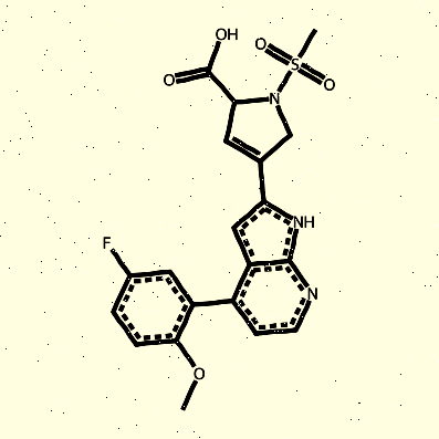 COc1ccc(F)cc1-c1ccnc2[nH]c(C3=CC(C(=O)O)N(S(C)(=O)=O)C3)cc12